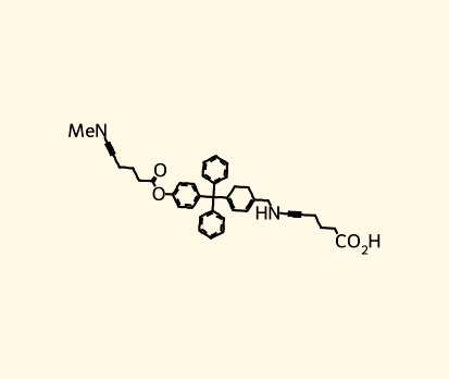 CNC#CCCCC(=O)Oc1ccc(C(C2=CC=C(CNC#CCCCC(=O)O)CC2)(c2ccccc2)c2ccccc2)cc1